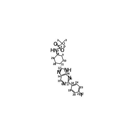 CC(C)(C)S(=O)(=O)N[C@H]1CC[C@H](c2nc3cnc(-c4ccc(F)cc4)nc3[nH]2)CC1